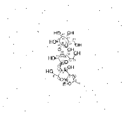 CC1=NC2[C@@H](O1)OC(CO)[C@@H](O[C@@H]1OC(CO)[C@@H](O)[C@@H](O[C@H]3O[C@@H](CO)[C@@H](O)C(O)C3O)C1O)[C@@H]2O